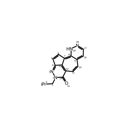 CC(C)Cn1nc2ccc3c4c(ccc(c2-3)c1=O)=CC=NN4